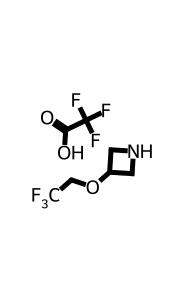 FC(F)(F)COC1CNC1.O=C(O)C(F)(F)F